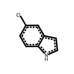 Clc1[c]c2cc[nH]c2cc1